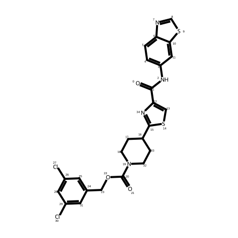 O=C(Nc1ccc2ncsc2c1)c1csc(C2CCN(C(=O)OCc3cc(Cl)cc(Cl)c3)CC2)n1